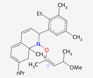 CCCC1=CC=C2C=CC(c3cc(C)cc(C)c3CC)N(O/C(C)=C\C(C)OC)C2(C)C1